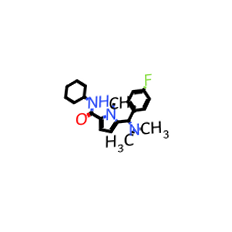 CN(C)C(c1ccc(F)cc1)c1ccc(C(=O)NC2CCCCC2)n1C